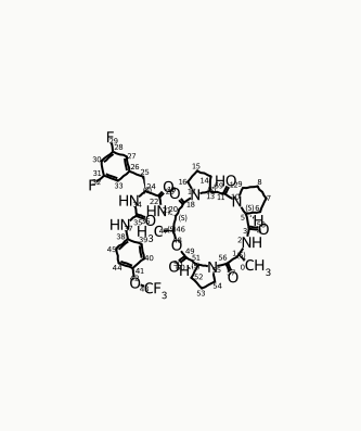 C[C@@H]1NC(=O)[C@@H]2CCCCN2C(=O)[C@@H]2CCCN2C(=O)[C@@H](NC(=O)[C@H](Cc2cc(F)cc(F)c2)NC(=O)Nc2ccc(OC(F)(F)F)cc2)[C@H](C)OC(=O)[C@@H]2CCCN2C1=O